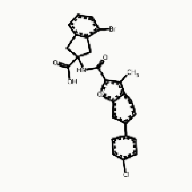 Cc1c(C(=O)NC2(C(=O)O)Cc3cccc(Br)c3C2)oc2cc(-c3ccc(Cl)cc3)ccc12